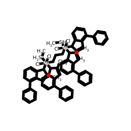 C[SiH2][Zr]([Cl])([Cl])([CH2]C[CH2][Zr]([Cl])([Cl])([SiH2]C)([CH]1C(C)=Cc2c(-c3ccccc3)cccc21)[CH]1C(C)=Cc2c(-c3ccccc3)cccc21)([CH]1C(C)=Cc2c(-c3ccccc3)cccc21)[CH]1C(C)=Cc2c(-c3ccccc3)cccc21